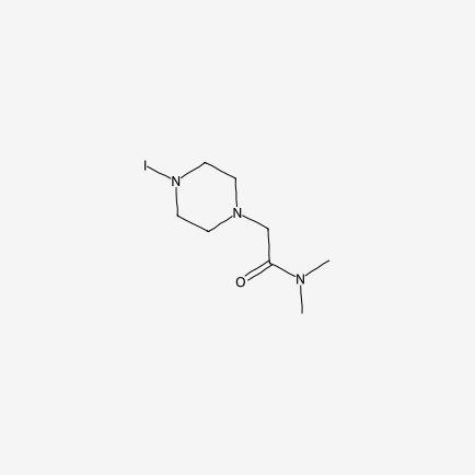 CN(C)C(=O)CN1CCN(I)CC1